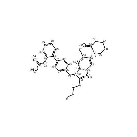 CCCCc1nc2cc(N3CCCCC3=O)c(C)nc2n1Cc1ccc(-c2ccccc2OC(=O)O)cc1